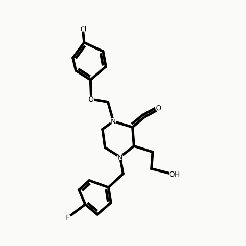 O=C=C1C(CCO)N(Cc2ccc(F)cc2)CCN1COc1ccc(Cl)cc1